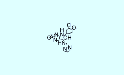 COc1ccc(CNc2nc([S+](C)[O-])ncc2C(O)NCc2ncccn2)cc1Cl